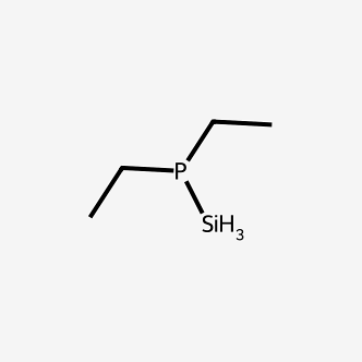 CCP([SiH3])CC